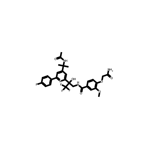 COc1cc(C(=O)NCC(O)(c2cc(C(C)(C)NC(C)=O)cc(-c3ccc(F)cc3)n2)C(F)(F)F)ccc1OCC(N)=O